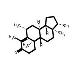 CC1=C2[C@H](C)C[C@H]3[C@@H]4CC[C@H](O)[C@@]4(C)CC[C@@H]3[C@@]2(C)CCC1=O